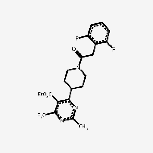 CCOC(=O)c1c(C2CCN(C(=O)Cc3c(F)cccc3F)CC2)nc(C)nc1C(F)(F)F